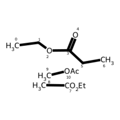 CCOC(=O)CC.CCOC(C)=O.COC(C)=O